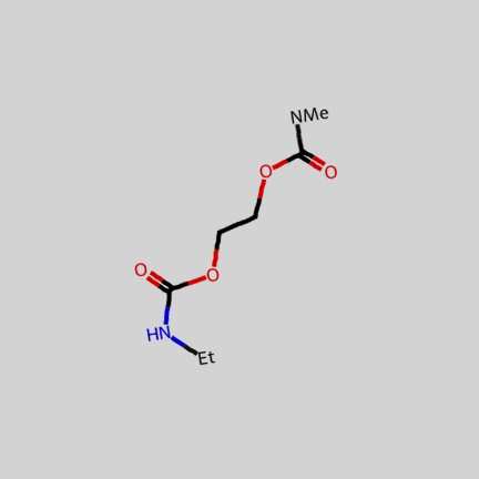 CCNC(=O)OCCOC(=O)NC